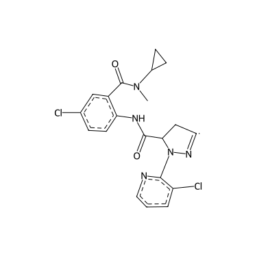 CN(C(=O)c1cc(Cl)ccc1NC(=O)C1C[C]=NN1c1ncccc1Cl)C1CC1